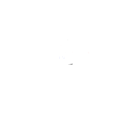 CC(C)(C)OC(=O)N[C@H](/C=C/c1ccccc1)CCCO